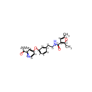 CNC(=O)c1cc(Oc2cccc(CCNC(=O)c3cc(C)oc3C)c2)ccn1